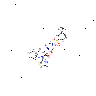 Cc1cccc(S(=O)(=O)N2CCN([C@@H](CC3CCCCC3)C(=O)Nc3nccs3)C(=O)C2)c1